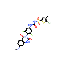 CNc1ccc2c(=O)n(-c3c(F)cc(NC(=O)NS(=O)(=O)c4cc(C)c(Cl)s4)cc3F)c(=O)[nH]c2c1